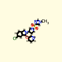 Cn1cnc(S(=O)(=O)N2C[C@H](c3ccccn3)[C@@H](N3Cc4ccc(Cl)cc4C3=O)C2)c1